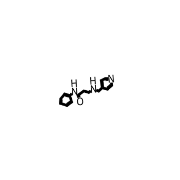 O=C(CCNCc1ccncc1)Nc1ccccc1